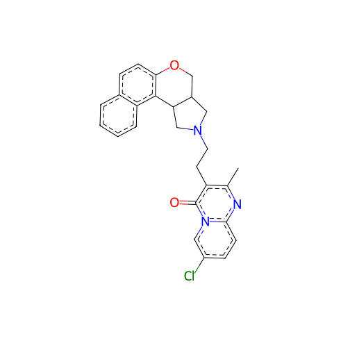 Cc1nc2ccc(Cl)cn2c(=O)c1CCN1CC2COc3ccc4ccccc4c3C2C1